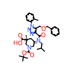 Cc1ccccc1-n1nnc(C(=O)N(CC(C)C)[C@@H]2CN(C(=O)OC(C)(C)C)C[C@](C)(C(=O)O)C2)c1COCc1ccccc1